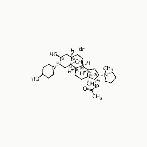 CC(=O)O[C@H]1[C@@H]([N+]2(C)CCCC2)C[C@H]2[C@@H]3CC[C@H]4C[C@H](O)[C@@H](N5CCC(O)CC5)C[C@]4(C)[C@H]3CC[C@@]21C.[Br-]